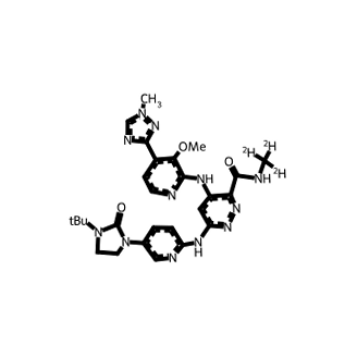 [2H]C([2H])([2H])NC(=O)c1nnc(Nc2ccc(N3CCN(C(C)(C)C)C3=O)cn2)cc1Nc1nccc(-c2ncn(C)n2)c1OC